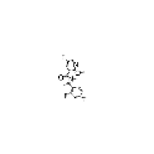 COc1ncc(F)cc1C(=O)N(C)[C@H](C)c1ccc(F)cc1F